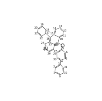 c1ccc(-c2ccc(Oc3c4ccccc4c(-c4ccccc4)c4cnccc34)cc2)cc1